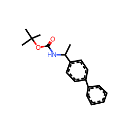 CC(NC(=O)OC(C)(C)C)c1ccc(-c2ccccc2)cc1